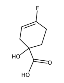 O=C(O)C1(O)CC=C(F)CC1